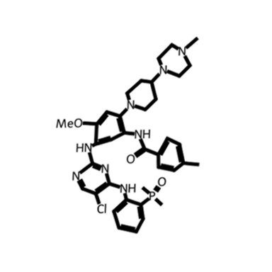 COc1cc(N2CCC(N3CCN(C)CC3)CC2)c(NC(=O)c2ccc(C)cc2)cc1Nc1ncc(Cl)c(Nc2ccccc2P(C)(C)=O)n1